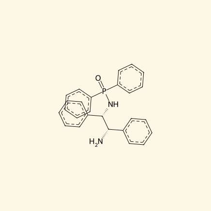 N[C@@H](c1ccccc1)[C@@H](NP(=O)(c1ccccc1)c1ccccc1)c1ccccc1